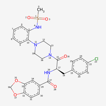 CS(=O)(=O)Nc1ccccc1N1CCN(C(=O)[C@@H](Cc2ccc(Cl)cc2)NC(=O)c2ccc3c(c2)OCO3)CC1